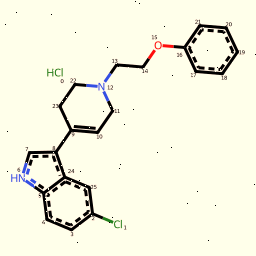 Cl.Clc1ccc2[nH]cc(C3=CCN(CCOc4ccccc4)CC3)c2c1